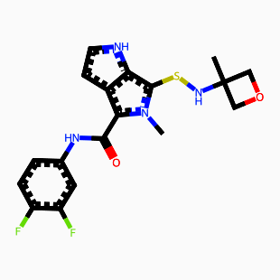 Cn1c(C(=O)Nc2ccc(F)c(F)c2)c2cc[nH]c2c1SNC1(C)COC1